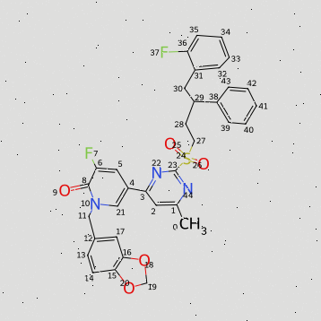 Cc1cc(-c2cc(F)c(=O)n(Cc3ccc4c(c3)OCO4)c2)nc(S(=O)(=O)CCC(Cc2ccccc2F)c2ccccc2)n1